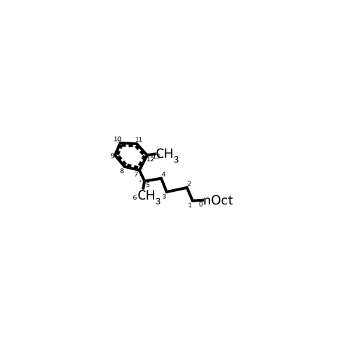 CCCCCCCCCCCC[C](C)c1ccccc1C